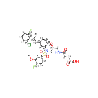 COc1cc(S(=O)(=O)N2CC(CNC(=O)CCC(=O)O)Oc3ccc(C=C(C)c4c(F)cccc4Cl)cc32)ccc1F